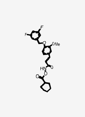 COc1cc(C=CC(=O)NOC(=O)C2CCCCC2)ccc1OCc1cc(F)cc(F)c1